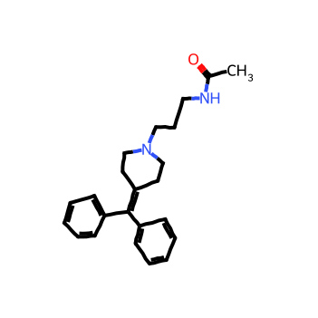 CC(=O)NCCCN1CCC(=C(c2ccccc2)c2ccccc2)CC1